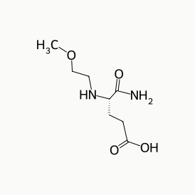 COCCN[C@@H](CCC(=O)O)C(N)=O